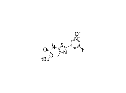 Cc1nc(-c2cc(F)c[n+]([O-])c2)sc1N(C)C(=O)OC(C)(C)C